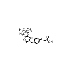 CC(C)(C)OC(=O)N[C@H]([C]=O)Cc1ccc(OCC(=O)O)cc1